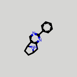 c1ccc(-c2ncc3c(n2)CC2CCC3N2)cc1